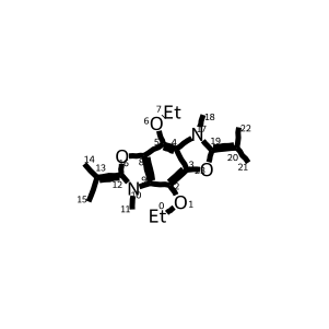 CCOc1c2c(c(OCC)c3c1N(C)C(=C(C)C)O3)N(C)C(=C(C)C)O2